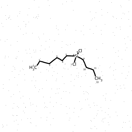 CCCCCC[Si](Cl)(Cl)CCCC